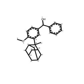 COc1ccc(C(O)c2ccccc2)cc1C1(C)C2CC3CC(C2)CC1C3